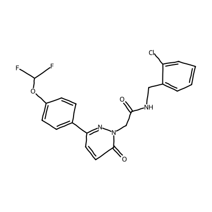 O=C(Cn1nc(-c2ccc(OC(F)F)cc2)ccc1=O)NCc1ccccc1Cl